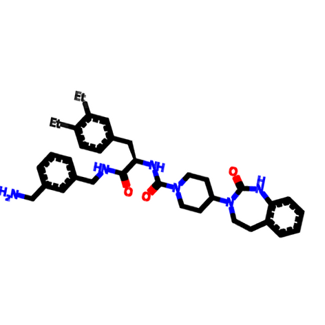 CCc1ccc(C[C@@H](NC(=O)N2CCC(N3CCc4ccccc4NC3=O)CC2)C(=O)NCc2cccc(CN)c2)cc1CC